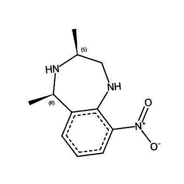 C[C@H]1CNc2c(cccc2[N+](=O)[O-])[C@@H](C)N1